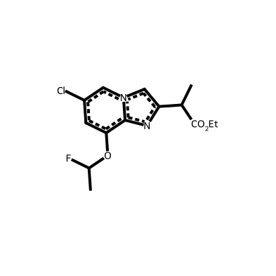 CCOC(=O)C(C)c1cn2cc(Cl)cc(OC(C)F)c2n1